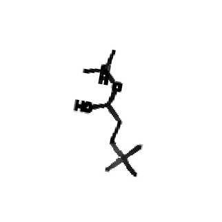 C[SiH](C)OC(O)CCC(C)(C)C